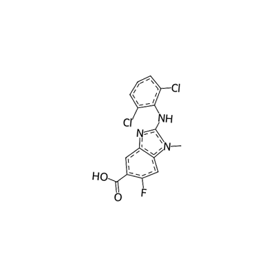 Cn1c(Nc2c(Cl)cccc2Cl)nc2cc(C(=O)O)c(F)cc21